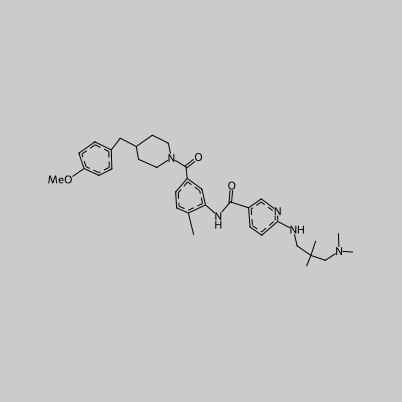 COc1ccc(CC2CCN(C(=O)c3ccc(C)c(NC(=O)c4ccc(NCC(C)(C)CN(C)C)nc4)c3)CC2)cc1